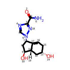 NC(=O)c1ncn([C@H]2C[C@H](O)[C@H]3C[C@@H](O)CC=C32)n1